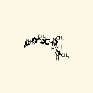 Cc1cc(NNc2cc(C)[nH]n2)nc(N2CCC3(CC2)CCN(C(C)c2ccc(-n4cc(F)cn4)nc2)C3)n1